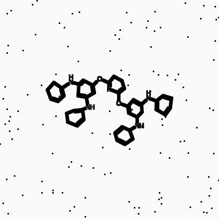 C1=CCCC(Nc2cc(NC3=CCCC=C3)cc(OC3=NC(OC4=CC(NC5C=CC=CC5)CC(Nc5ccccc5)=C4)=CCC3)c2)=C1